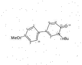 CCCCn1cc(-c2ccc(OC)cc2)ccc1=O